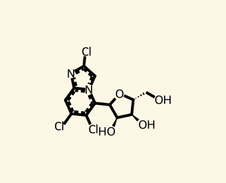 OC[C@H]1OC(c2c(Cl)c(Cl)cc3nc(Cl)cn23)[C@H](O)[C@@H]1O